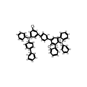 Clc1cc(-c2ccc(-c3cc4c5ccccc5n(-c5ccccc5)c4c4c3oc3ccccc34)cc2)cc(N(c2ccccc2)c2ccc(-c3ccccc3)cc2)c1